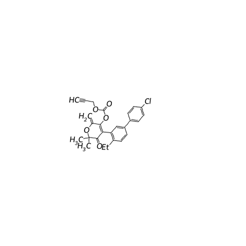 C#CCOC(=O)OC1=C(c2cc(-c3ccc(Cl)cc3)ccc2CC)C(=O)C(C)(C)OC1=C